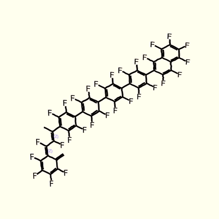 C=c1c(F)c(F)c(F)c(F)/c1=C(F)/C(F)=C(\C)c1c(F)c(F)c(-c2c(F)c(F)c(-c3c(F)c(F)c(-c4c(F)c(F)c(-c5c(F)c(F)c6c(F)c(F)c(F)c(F)c6c5F)c(F)c4F)c(F)c3F)c(F)c2F)c(F)c1F